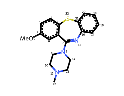 COc1ccc2c(c1)C(N1CCN(C)CC1)=Nc1ccccc1S2